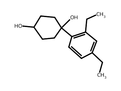 CCc1ccc(C2(O)CCC(O)CC2)c(CC)c1